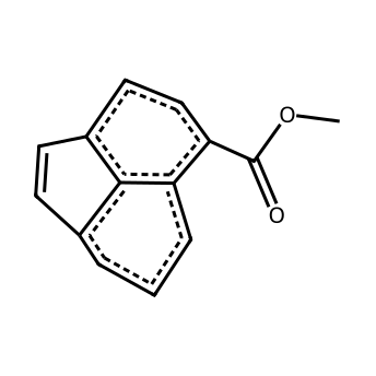 COC(=O)c1ccc2c3c(cccc13)C=C2